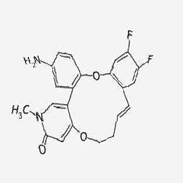 Cn1cc2c(cc1=O)OCC/C=C/c1cc(F)c(F)cc1Oc1ccc(N)cc1-2